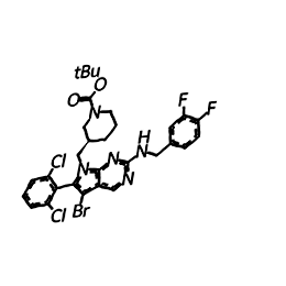 CC(C)(C)OC(=O)N1CCC[C@@H](Cn2c(-c3c(Cl)cccc3Cl)c(Br)c3cnc(NCc4ccc(F)c(F)c4)nc32)C1